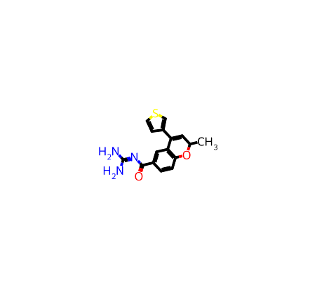 CC1C=C(c2ccsc2)c2cc(C(=O)N=C(N)N)ccc2O1